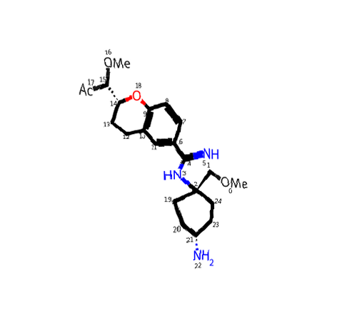 COC[C@]1(NC(=N)c2ccc3c(c2)CC[C@H](C(OC)C(C)=O)O3)CC[C@@H](N)CC1